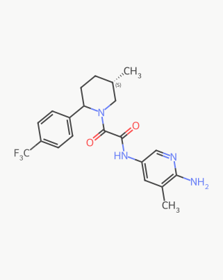 Cc1cc(NC(=O)C(=O)N2C[C@@H](C)CCC2c2ccc(C(F)(F)F)cc2)cnc1N